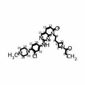 C=CC(=O)N1CC(CCn2c(=O)ccc3cnc(Nc4ccc(N5CCN(C)CC5)c(Cl)c4)nc32)C1